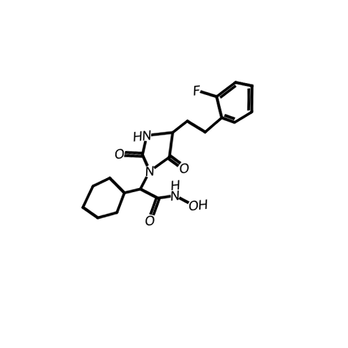 O=C(NO)C(C1CCCCC1)N1C(=O)NC(CCc2ccccc2F)C1=O